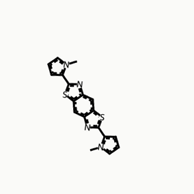 Cn1cccc1-c1nc2cc3sc(-c4cccn4C)nc3cc2s1